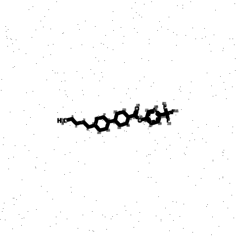 CCCCCC1CCC(C2CCC(C(=O)Oc3ccc(C(F)(F)F)nc3)CC2)CC1